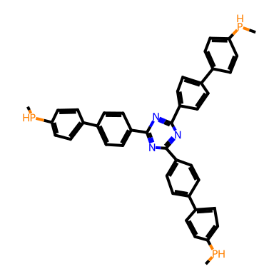 CPc1ccc(-c2ccc(-c3nc(-c4ccc(-c5ccc(PC)cc5)cc4)nc(-c4ccc(-c5ccc(PC)cc5)cc4)n3)cc2)cc1